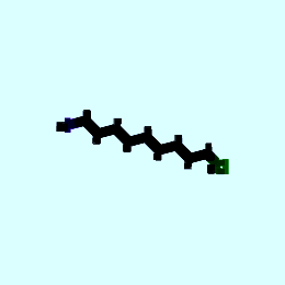 ClCCCCCCCCCI